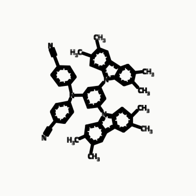 Cc1cc2c3cc(C)c(C)cc3n(-c3cc(N(c4ccc(C#N)cc4)c4ccc(C#N)cc4)cc(-n4c5cc(C)c(C)cc5c5cc(C)c(C)cc54)c3)c2cc1C